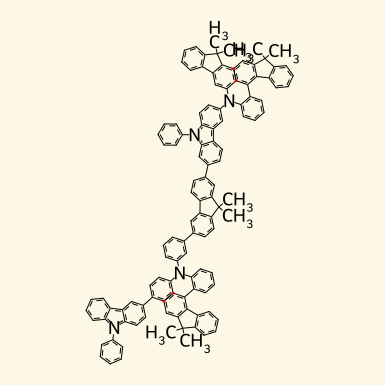 CC1(C)c2ccccc2-c2cc(N(c3ccc4c(c3)c3ccc(-c5ccc6c(c5)C(C)(C)c5ccc(-c7cccc(N(c8ccc(-c9ccc%10c(c9)c9ccccc9n%10-c9ccccc9)cc8)c8ccccc8-c8cccc9c8-c8ccccc8C9(C)C)c7)cc5-6)cc3n4-c3ccccc3)c3ccccc3-c3cccc4c3-c3ccccc3C4(C)C)ccc21